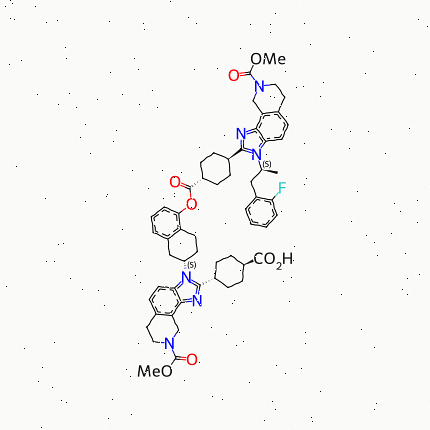 COC(=O)N1CCc2ccc3c(nc([C@H]4CC[C@H](C(=O)O)CC4)n3[C@H]3CCc4c(cccc4OC(=O)[C@H]4CC[C@H](c5nc6c7c(ccc6n5[C@@H](C)Cc5ccccc5F)CCN(C(=O)OC)C7)CC4)C3)c2C1